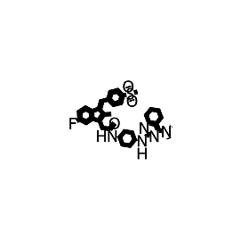 CC1=C(CC(=O)N[C@H]2CC[C@@H](Nc3nc4c(c(N(C)C)n3)CCCC4)CC2)c2cc(F)ccc2C1=Cc1ccc(S(C)(=O)=O)cc1